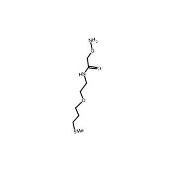 CSCCCOCCNC(=O)CON